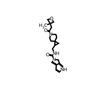 CC1(CC(=O)N2CCC3(CC2)CC3CNC(=O)N2C=C3C=CNC=C3C2)COC1